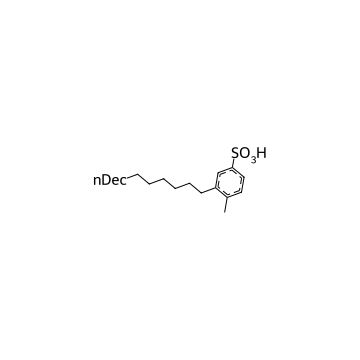 CCCCCCCCCCCCCCCCc1cc(S(=O)(=O)O)ccc1C